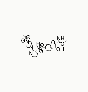 CS(=O)(=O)N1CCN(c2ncccc2NS(=O)(=O)c2ccc3c(O)c(C(N)=O)oc3c2)CC1